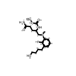 CN(CC(CCC(N)=O)NC(=O)OC(C)(C)C)c1cccc(CCCCO)c1F